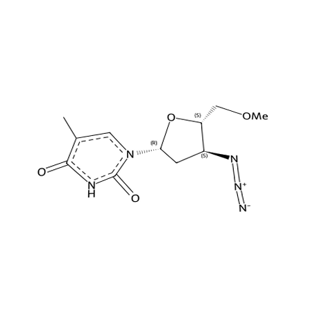 COC[C@H]1O[C@@H](n2cc(C)c(=O)[nH]c2=O)C[C@@H]1N=[N+]=[N-]